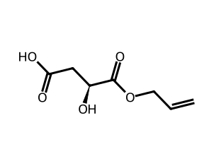 C=CCOC(=O)[C@@H](O)CC(=O)O